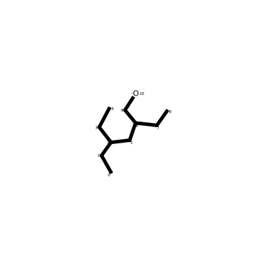 CCC(CC)CC(CC)C[O]